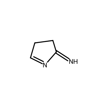 N=C1CCC=N1